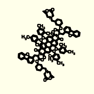 Cc1ccc(Oc2cc3c4c(cc(Oc5ccc(C)cc5C)c5c6c(Oc7ccc(C)cc7C)cc7c8c(cc(Oc9ccc(C)cc9C)c(c2c45)c86)C(=O)N(C(Cc2cccc4c2oc2ccccc24)C(=O)OC2CCCC(CN(CC4CO4)CC4CO4)C2)C7=O)C(=O)N(C(Cc2cccc4c2oc2ccccc24)C(=O)OC2CCCC(CN(CC4CO4)CC4CO4)C2)C3=O)c(C)c1